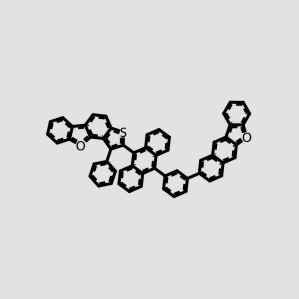 c1ccc(-c2c(-c3c4ccccc4c(-c4cccc(-c5ccc6cc7oc8ccccc8c7cc6c5)c4)c4ccccc34)sc3ccc4c5ccccc5oc4c23)cc1